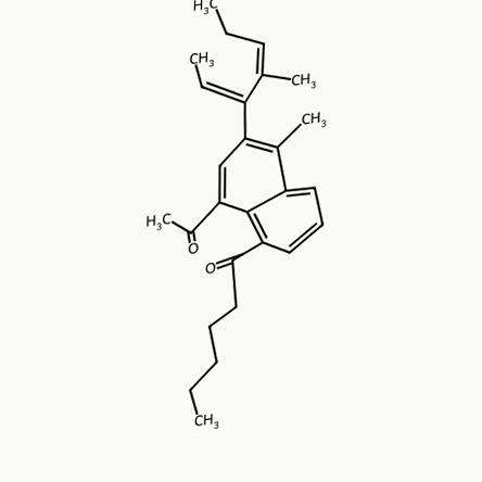 C/C=C(\C(C)=C/CC)c1cc(C(C)=O)c2c(C(=O)CCCCC)cccc2c1C